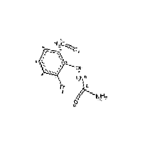 C=O.CCc1ccccc1O.NC(N)=O